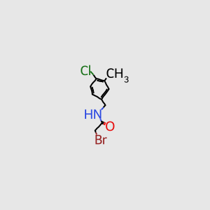 Cc1cc(CNC(=O)CBr)ccc1Cl